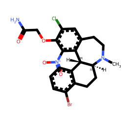 CN1CCc2cc(Cl)c(OCC(N)=O)c([N+](=O)[O-])c2[C@H]2c3cccc(Br)c3CC[C@@H]21